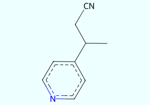 CC(CC#N)c1ccncc1